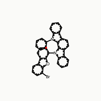 Brc1cccc2c1oc1c(-n3c4ccccc4c4ccc5c6ccccc6n(-c6ccccc6)c5c43)cccc12